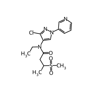 CCN(C(=O)CC(C)S(C)(=O)=O)c1cn(-c2cccnc2)nc1Cl